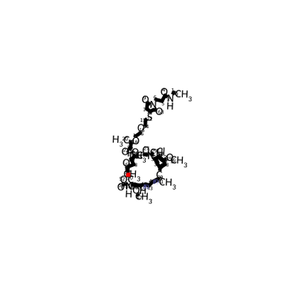 CCNC(=O)CCN1C(=O)CC(SCCOCCO[C@@H](C)C(=O)O[C@H]2CC(=O)N(C)c3cc(cc(OC)c3Cl)C/C(C)=C/C=C/[C@@H](OC)[C@@]3(O)CC(OC(=O)N3)C3(C)C[C@@]2(C)O3)C1=O